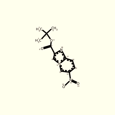 CC(C)(C)OC(=O)c1cn2cc([N+](=O)[O-])ccc2n1